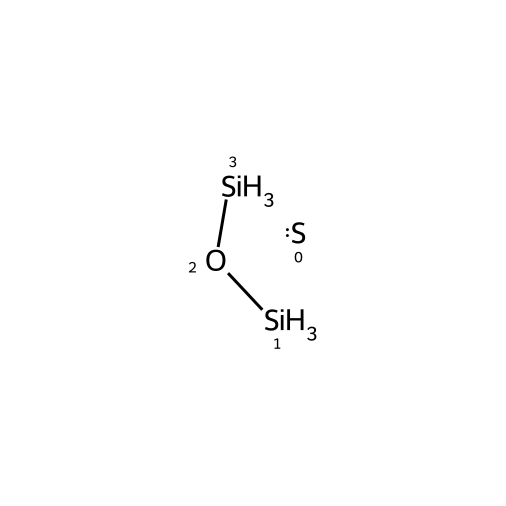 [S].[SiH3]O[SiH3]